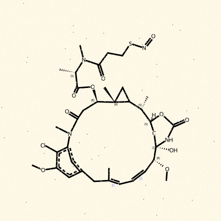 COc1cc2cc(c1Cl)N(C)C(=O)C[C@@H](OC(=O)[C@H](C)N(C)C(=O)CCSN=O)[C@]1(C)CC1[C@H](C)[C@@H]1C[C@@](O)(NC(=O)O1)[C@H](OC)/C=C\C=C(/C)C2